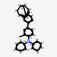 Cc1cc(-c2ccc3c(c2)C2CC4CC(CC3C4)C2)ccc1N(c1ccccc1)c1ccccc1